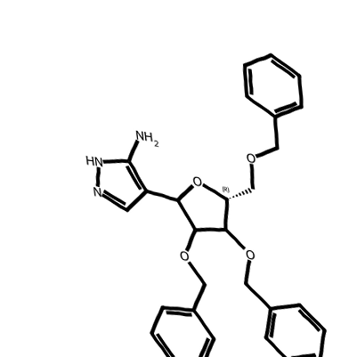 Nc1[nH]ncc1C1O[C@H](COCc2ccccc2)C(OCc2ccccc2)C1OCc1ccccc1